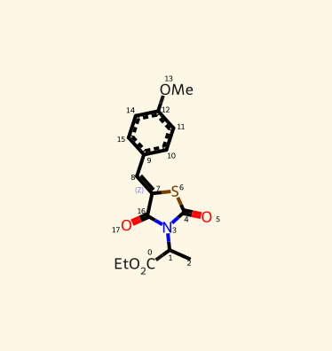 CCOC(=O)C(C)N1C(=O)S/C(=C\c2ccc(OC)cc2)C1=O